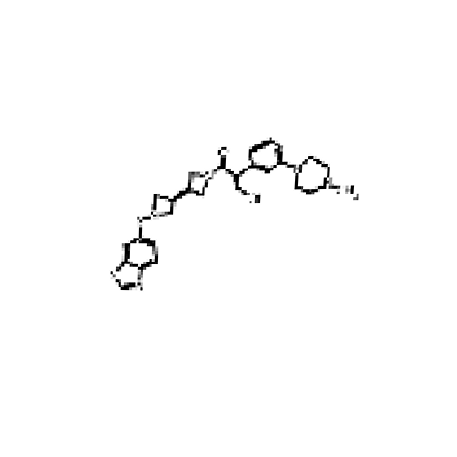 CN1CCN(c2cccc(C(CO)C(=O)N3CC(=C4CN(Sc5ccc6ncsc6c5)C4)C3)c2)CC1